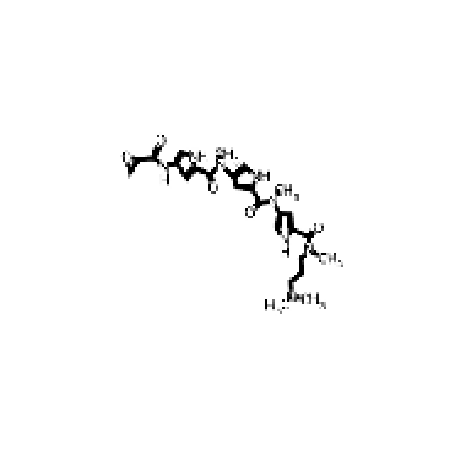 CN(C)CCCN(C)C(=O)c1cc(N(C)C(=O)c2cc(N(C)C(=O)c3cc(NC(=O)C4CO4)c[nH]3)c[nH]2)c[nH]1